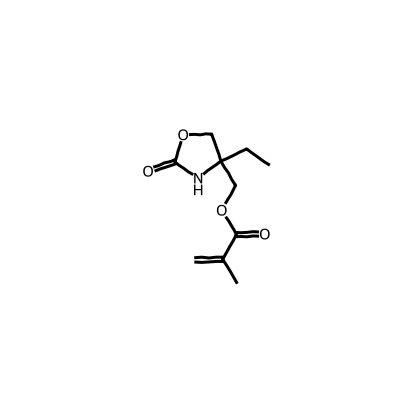 C=C(C)C(=O)OCC1(CC)COC(=O)N1